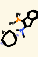 C1=C\CC/C=C\CC/1.CC(C)P(C1=C(N(C)C)Cc2ccccc21)C(C)C.[Ir]